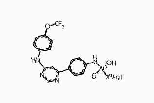 CCCC(C)[N+]([O-])(O)Nc1ccc(-c2cc(Nc3ccc(OC(F)(F)F)cc3)ncn2)cc1